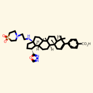 CC1(C)C(c2ccc(C(=O)O)cc2)=CC[C@]2(C)[C@H]3CC[C@@H]4[C@H]5[C@H](c6nnco6)CC[C@]5(NCCN5CCS(=O)(=O)CC5)CC[C@@]4(C)[C@]3(C)CC[C@@H]12